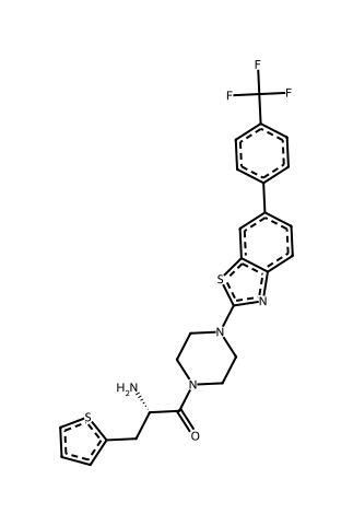 N[C@@H](Cc1cccs1)C(=O)N1CCN(c2nc3ccc(-c4ccc(C(F)(F)F)cc4)cc3s2)CC1